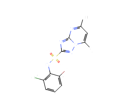 Cc1cc(C)n2nc(S(=O)(=O)Nc3c(Cl)cccc3Br)nc2n1